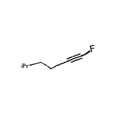 C[C](C)CCC#CF